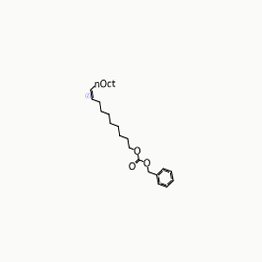 CCCCCCCC/C=C\CCCCCCCCOC(=O)OCc1ccccc1